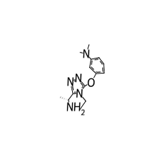 CCn1c(Oc2cccc(N(C)C)c2)nnc1[C@@H](C)N